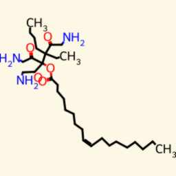 CCCCCCCC/C=C\CCCCCCCC(=O)OC(C(=O)CN)(C(=O)CN)C(CC)(CCCC)C(=O)CN